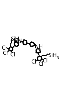 [SiH3]CCCc1c(-c2ccc(Nc3ccc(-c4ccc(Nc5ccc(-c6cc(Cl)c(Cl)c(Cl)c6CCC[SiH3])cc5)cc4)cc3)cc2)cc(Cl)c(Cl)c1Cl